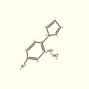 [B+2]c1ccc(-n2cccc2)cc1.[OH-].[OH-]